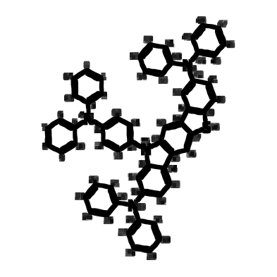 c1ccc(N(c2ccccc2)c2ccc(-n3c4cc(N(c5ccccc5)c5ccccc5)ccc4c4cc5sc6ccc(N(c7ccccc7)c7ccccc7)cc6c5cc43)cc2)cc1